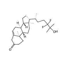 C[C@H](CCC(F)(F)C(C)(C)O)[C@H]1CC[C@H]2[C@@H]3CC=C4CC(=O)CC[C@]4(C)[C@H]3CC[C@]12C